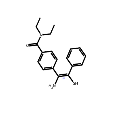 CCN(CC)C(=O)c1ccc(/C(N)=C(/S)c2ccccc2)cc1